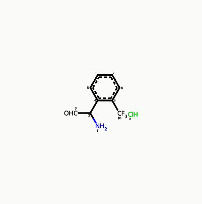 Cl.NC(C=O)c1ccccc1C(F)(F)F